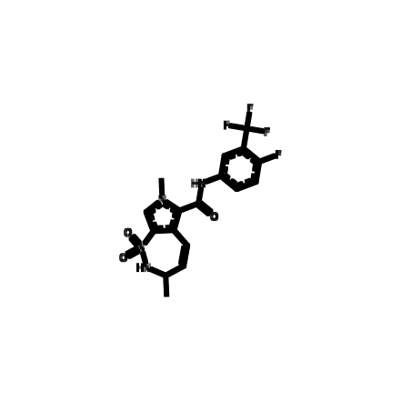 CC1C=Cc2c(cn(C)c2C(=O)Nc2ccc(F)c(C(F)(F)F)c2)S(=O)(=O)N1